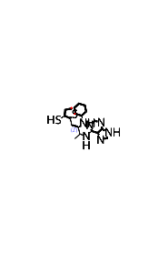 CC(Nc1ncnc2[nH]cnc12)/C(=C/c1sccc1S)Nc1ccccc1